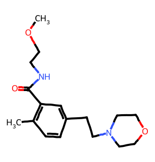 COCCNC(=O)c1cc(CCN2CCOCC2)ccc1C